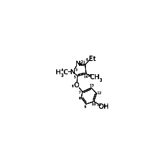 CCc1nn(C)c(Oc2ccc(O)cc2)c1C